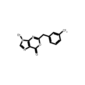 CCn1cnc2c(=O)oc(Cc3cccc(C(F)(F)F)c3)nc21